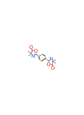 CC1(C)N=C(c2ccc(C3=NC(C)(C)C(=O)O3)cc2)OC1=O